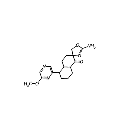 COc1cncc(C2CCCC3C(=O)C4(CCC32)COC(N)=N4)n1